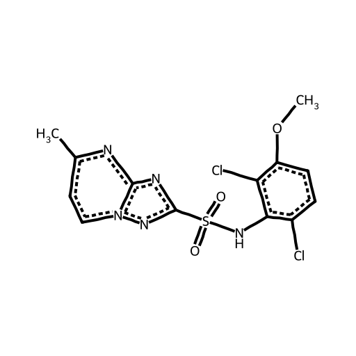 COc1ccc(Cl)c(NS(=O)(=O)c2nc3nc(C)ccn3n2)c1Cl